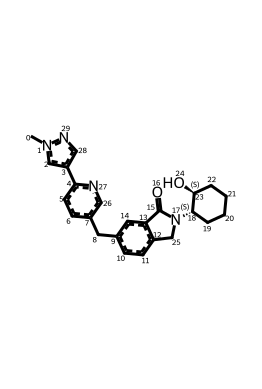 Cn1cc(-c2ccc(Cc3ccc4c(c3)C(=O)N([C@H]3CCCC[C@@H]3O)C4)cn2)cn1